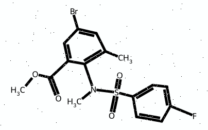 COC(=O)c1cc(Br)cc(C)c1N(C)S(=O)(=O)c1ccc(F)cc1